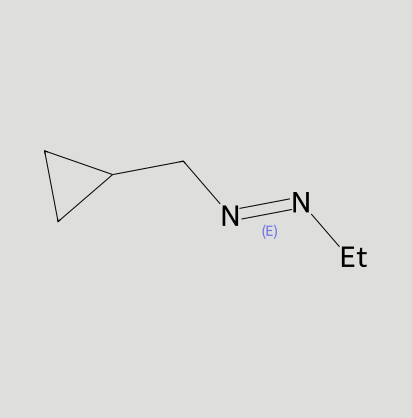 CC/N=N/CC1CC1